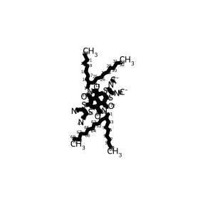 [C-]#[N+]c1sc2c(sc1[N+]#[C-])c1c(=O)n(CC(CCCCCCCC)CCCCCCCCCC)c(=O)c3c4sc(C#N)c(C#N)sc4c4c(=O)n(CC(CCCCCCCC)CCCCCCCCCC)c(=O)c2c4c31